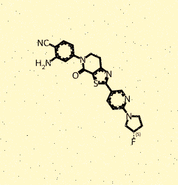 N#Cc1ccc(N2CCc3nc(-c4ccc(N5CC[C@H](F)C5)nc4)sc3C2=O)cc1N